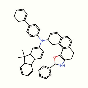 CC1(C)C2C=CC=CC2C2C=CC(N(c3ccc(C4=CC=CCC4)cc3)C3C=Cc4ccc5c(c4C3)C3=C(CC5)NC(c4ccccc4)O3)=CC21